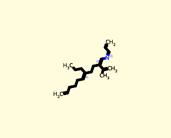 C=C/C=N\C=C(\CC/C(=C/CCCC=C)CCC)C(=C)C